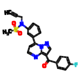 C#CCN(c1cccc(-c2ccnc3c(C(=O)c4ccc(F)cc4)cnn23)c1)S(C)(=O)=O